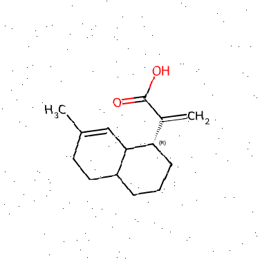 C=C(C(=O)O)[C@@H]1CCCC2CCC(C)=CC21